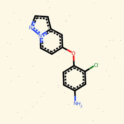 Nc1ccc(Oc2ccn3nccc3c2)c(Cl)c1